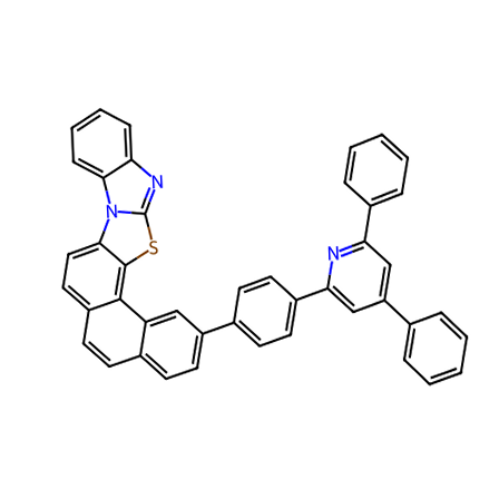 c1ccc(-c2cc(-c3ccccc3)nc(-c3ccc(-c4ccc5ccc6ccc7c(sc8nc9ccccc9n87)c6c5c4)cc3)c2)cc1